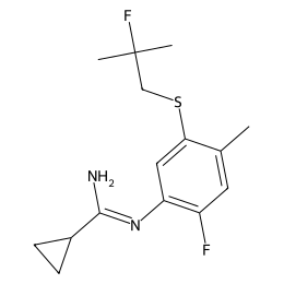 Cc1cc(F)c(/N=C(\N)C2CC2)cc1SCC(C)(C)F